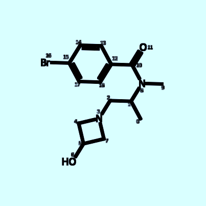 CC(CN1CC(O)C1)N(C)C(=O)c1ccc(Br)cc1